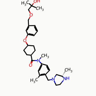 Cc1cc(N(C)C(=O)C2CCC(Oc3cccc(COCC(C)(C)O)c3)CC2)ccc1CN1CCN[C@@H](C)C1